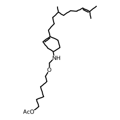 CC(=O)OCCCCCCOCNC1CC=C(CCCC(C)CCCC=C(C)C)CC1